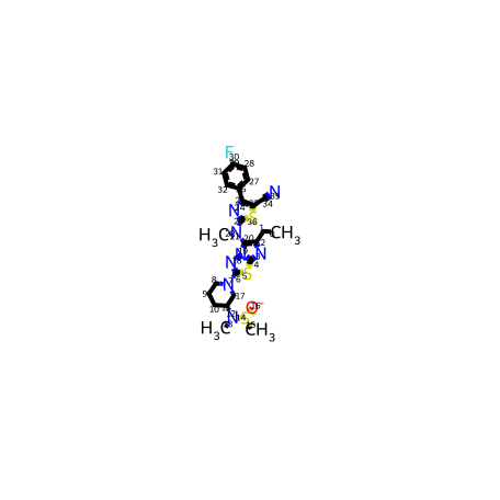 CCc1nc2sc(N3CCCC(N(C)[S+](C)[O-])C3)nn2c1N(C)c1nc(-c2ccc(F)cc2)c(C#N)s1